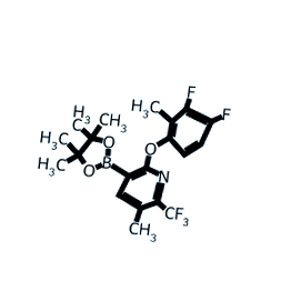 Cc1cc(B2OC(C)(C)C(C)(C)O2)c(Oc2ccc(F)c(F)c2C)nc1C(F)(F)F